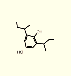 CCC(C)c1cccc(C(C)CC)c1O.Cl